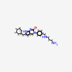 NCCCNCc1ccc(-n2cc3cc(CC4CCCCC4)[nH]c3nc2=O)cc1